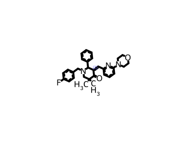 CC1(C)CN(Cc2ccc(F)cc2)C(c2ccccc2)/C(=C/c2cccc(N3CCOCC3)n2)C1=O